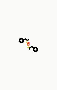 CC(Cc1ccccc1)SOSC(C)Cc1ccccc1